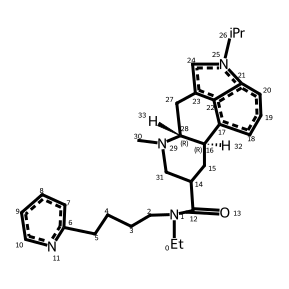 CCN(CCCCc1ccccn1)C(=O)C1C[C@@H]2c3cccc4c3c(cn4C(C)C)C[C@H]2N(C)C1